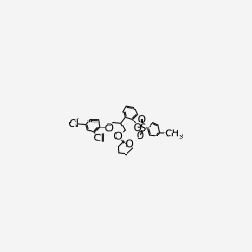 Cc1ccc(S(=O)(=O)Oc2ccccc2C(COc2ccc(Cl)cc2Cl)COC2CCCCO2)cc1